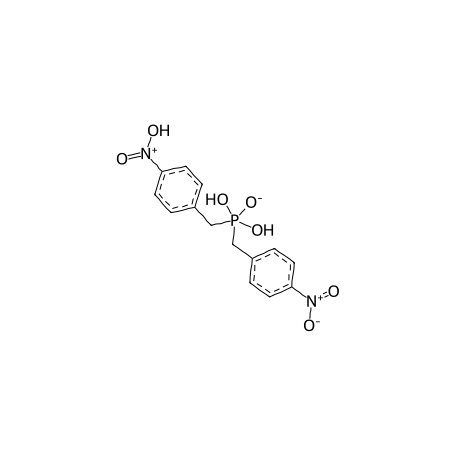 O=[N+]([O-])c1ccc(CP([O-])(O)(O)Cc2ccc([N+](=O)O)cc2)cc1